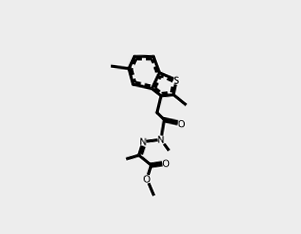 COC(=O)C(C)=NN(C)C(=O)Cc1c(C)sc2ccc(C)cc12